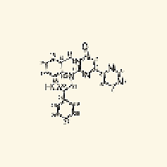 O=c1cc(-c2ccncn2)nc2n1Cc1ccccc1N2C[C@H](O)c1ccccc1